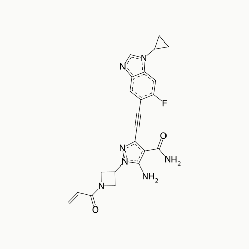 C=CC(=O)N1CC(n2nc(C#Cc3cc4ncn(C5CC5)c4cc3F)c(C(N)=O)c2N)C1